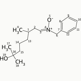 CC(CC=[N+]([O-])Cc1ccccc1)CCCC(C)(C)O